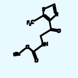 CC(C)(C)OC(=O)NCC(=O)c1ncsc1C(F)(F)F